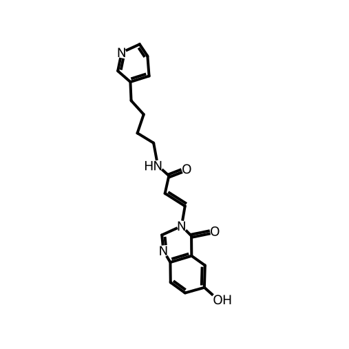 O=C(C=Cn1cnc2ccc(O)cc2c1=O)NCCCCc1cccnc1